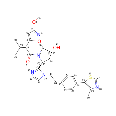 COc1cc(C(C(=O)N2C[C@H](O)C[C@H]2c2nccn2CCc2ccc(-c3scnc3C)cc2)C(C)C)on1